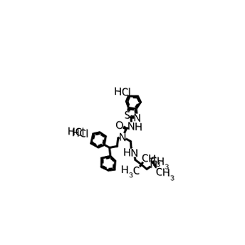 CN(C)CC(C)(C)CNCCN(CCC(c1ccccc1)c1ccccc1)C(=O)Nc1nc2ccccc2s1.Cl.Cl.Cl